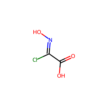 O=C(O)C(Cl)=NO